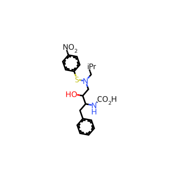 CC(C)CN(CC(O)C(Cc1ccccc1)NC(=O)O)Sc1ccc([N+](=O)[O-])cc1